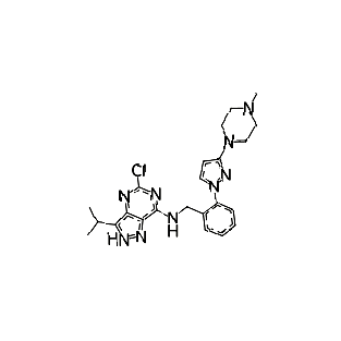 CC(C)c1[nH]nc2c(NCc3ccccc3-n3ccc(N4CCN(C)CC4)n3)nc(Cl)nc12